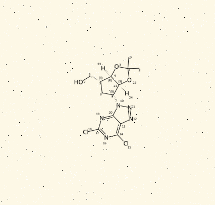 CC1(C)O[C@@H]2[C@@H](CO)C[C@@H](n3nnc4c(Cl)nc(Cl)nc43)[C@@H]2O1